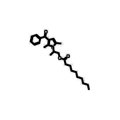 CCCCCCCCCC(=O)OCC(C)n1c(C)cc(C(=O)c2ccccc2)c1C